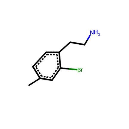 Cc1ccc(CCN)c(Br)c1